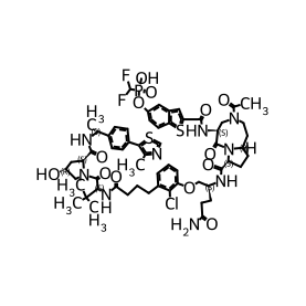 CC(=O)N1CC[C@H]2CC[C@@H](C(=O)N[C@@H](CCC(N)=O)COc3cccc(CCCC(=O)N[C@H](C(=O)N4C[C@H](O)C[C@H]4C(=O)N[C@@H](C)c4ccc(-c5scnc5C)cc4)C(C)(C)C)c3Cl)N2C(=O)[C@@H](NC(=O)c2cc3cc(OP(=O)(O)C(F)F)ccc3s2)C1